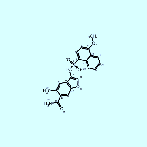 COc1ccc(S(=O)(=O)Nc2noc3cc(C(N)=O)c(C)cc23)c2ncccc12